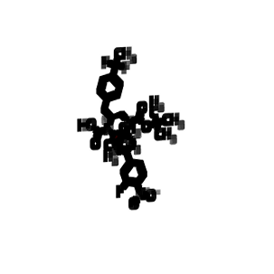 CC(C)(C)OC(=O)N(C[C@H](Cc1ccc(C(C)(F)F)cc1)N(C(=O)O)C(C)(C)C)c1nnc(-c2ccc([N+](=O)[O-])c(F)c2)s1